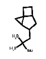 BC(B)(CC1CC2CCC23CC13)C(C)(C)C